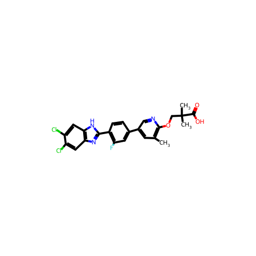 Cc1cc(-c2ccc(-c3nc4cc(Cl)c(Cl)cc4[nH]3)c(F)c2)cnc1OCC(C)(C)C(=O)O